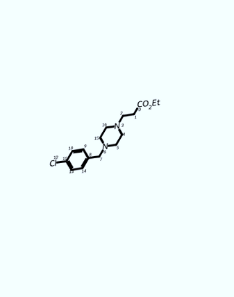 CCOC(=O)CCN1CCN(Cc2ccc(Cl)cc2)CC1